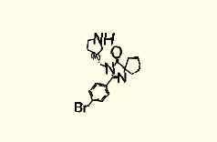 O=C1N(C[C@@H]2CCNC2)C(c2ccc(Br)cc2)=NC12CCCC2